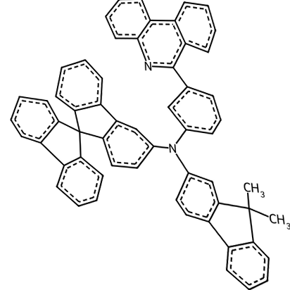 CC1(C)c2ccccc2-c2ccc(N(c3cccc(-c4nc5ccccc5c5ccccc45)c3)c3ccc4c(c3)-c3ccccc3C43c4ccccc4-c4ccccc43)cc21